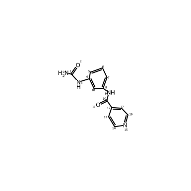 NC(=O)Nc1cccc(NC(=O)c2ccncc2)c1